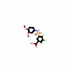 COc1ccc(NS(=O)(=O)c2cc(C(=O)O)c(F)c(F)c2F)cc1OC